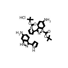 CC(C)(C)OC(=O)n1cccc1-c1nn(C(=O)OC(C)(C)C)c2cc(N)ccc12.Cl.Nc1ccc2c(-c3ccc[nH]3)n[nH]c2c1